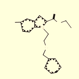 CCOC(=O)c1cc2cc(F)ccc2n1CCOCc1ccccc1